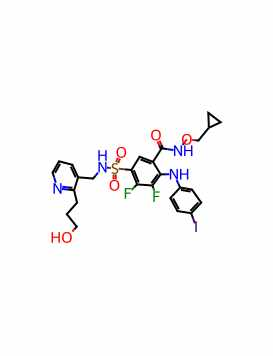 O=C(NOCC1CC1)c1cc(S(=O)(=O)NCc2cccnc2CCCO)c(F)c(F)c1Nc1ccc(I)cc1